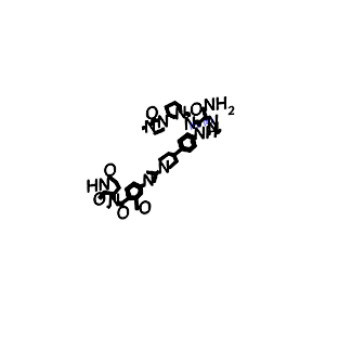 C=N/N=C(C(N)=O)\C(=N/CN1CCCC(N2CCN(C)C2=O)C1)Nc1ccc(C2CCN(C3CN(c4ccc(C(=O)N(C)C5CCC(=O)NC5=O)c(C=O)c4)C3)CC2)cc1